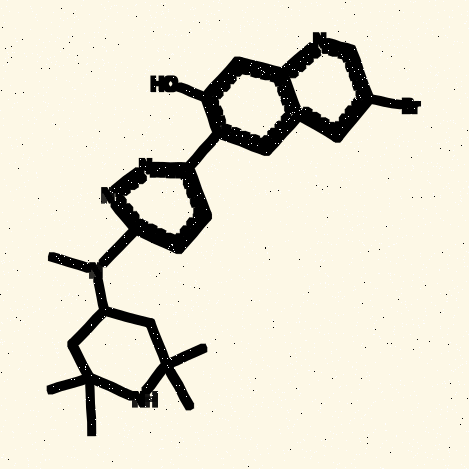 CN(c1ccc(-c2cc3cc(Br)cnc3cc2O)nn1)C1CC(C)(C)NC(C)(C)C1